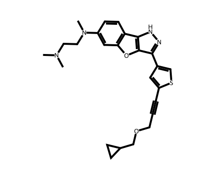 CN(C)CCN(C)c1ccc2c(c1)oc1c(-c3csc(C#CCOCC4CC4)c3)n[nH]c12